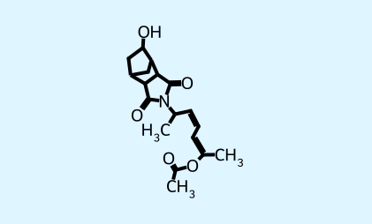 CC(=O)O/C(C)=C/C=C\C(C)N1C(=O)C2C3CC(O)C(C3)C2C1=O